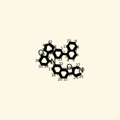 c1cc(-c2cccc3ccccc23)cc(N(c2ccc3ccc4c5ccncc5oc4c3c2)c2cccc3oc4ccccc4c23)c1